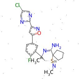 CN=[S@@]1C[C@@](C)(c2cc(-c3cc(-c4ncc(Cl)cn4)no3)ccc2F)N=C(N)C12CCCC2